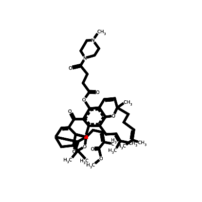 COC(=O)/C(C)=C\CC12OC(C)(C)C3CC(C=C4C(=O)c5c(OC(=O)CCC(=O)N6CCN(C)CC6)c6c(c(CC=C(C)C)c5OC431)OC(C)(CCC=C(C)C)C=C6)C2=O